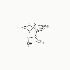 CNCC1(C(=O)C(C)CO)COC1